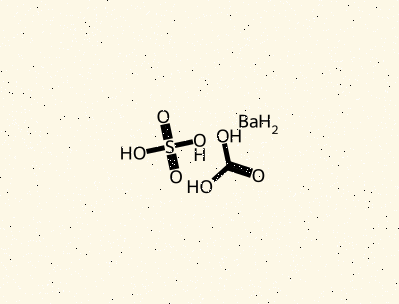 O=C(O)O.O=S(=O)(O)O.[BaH2]